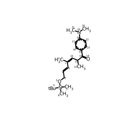 CC(C=CCO[Si](C)(C)C(C)(C)C)=CC(C)C(=O)c1ccc(N(C)C)cc1